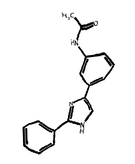 CC(=O)Nc1cccc(-c2c[nH]c(-c3ccccc3)n2)c1